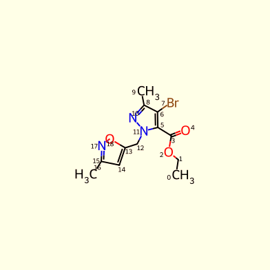 CCOC(=O)c1c(Br)c(C)nn1Cc1cc(C)no1